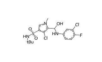 Cn1cc(S(=O)(=O)NC(C)(C)C)c(Cl)c1C(O)Nc1ccc(F)c(Cl)c1